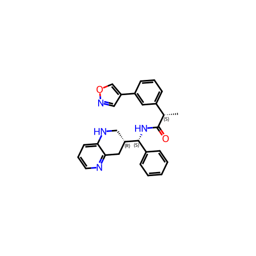 C[C@H](C(=O)N[C@H](c1ccccc1)[C@H]1CNc2cccnc2C1)c1cccc(-c2cnoc2)c1